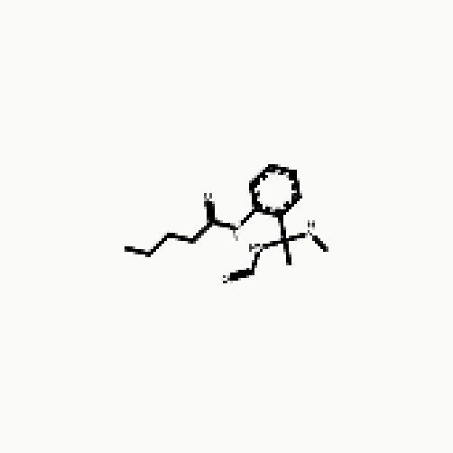 CCCCC(=O)Nc1ccccc1C(C)(NC)NC=O